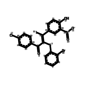 O=C(C(Sc1ccccc1Br)=C(I)c1ccc(O)c([N+](=O)[O-])c1)c1ccc(Cl)cc1